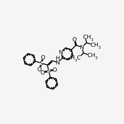 CC(C)N(C(=O)c1ccc(NC=C(S(=O)(=O)c2ccccc2)S(=O)(=O)c2ccccc2)nc1)C(C)C